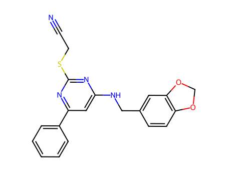 N#CCSc1nc(NCc2ccc3c(c2)OCO3)cc(-c2ccccc2)n1